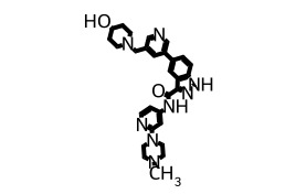 CN1CCN(c2cc(NC(=O)c3n[nH]c4ccc(-c5cncc(CN6CCC(O)CC6)c5)cc34)ccn2)CC1